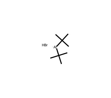 Br.C[C](C)(C)[Al][C](C)(C)C